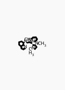 CN1CCC(N(C)c2cccc3nc(CN(C)C4CCCc5cccnc54)cn23)C1